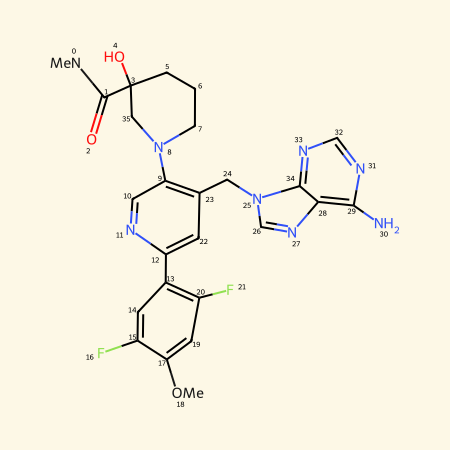 CNC(=O)C1(O)CCCN(c2cnc(-c3cc(F)c(OC)cc3F)cc2Cn2cnc3c(N)ncnc32)C1